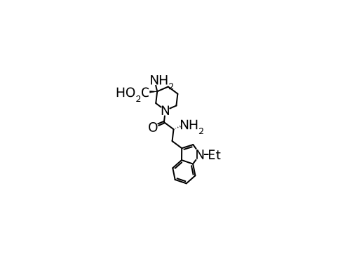 CCn1cc(C[C@@H](N)C(=O)N2CCC[C@](N)(C(=O)O)C2)c2ccccc21